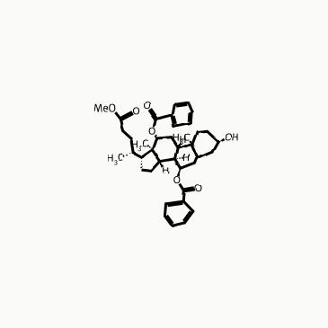 COC(=O)CC[C@@H](C)[C@H]1CC[C@H]2[C@@H]3[C@H](OC(=O)c4ccccc4)CC4C[C@H](O)CC[C@]4(C)[C@H]3C[C@H](OC(=O)c3ccccc3)[C@]12C